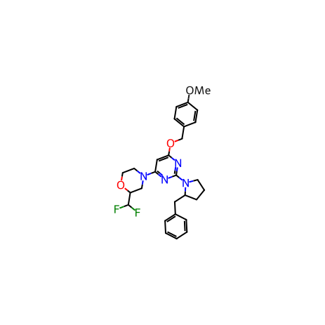 COc1ccc(COc2cc(N3CCOC(C(F)F)C3)nc(N3CCCC3Cc3ccccc3)n2)cc1